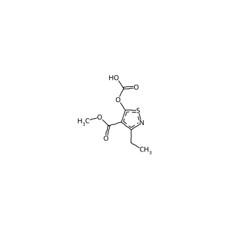 CCc1nsc(OC(=O)O)c1C(=O)OC